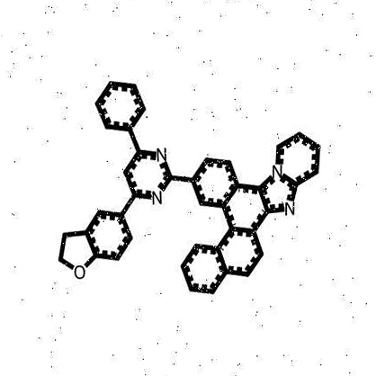 c1ccc(-c2cc(-c3ccc4c(c3)CCO4)nc(-c3ccc4c(c3)c3c5ccccc5ccc3c3nc5ccccn5c43)n2)cc1